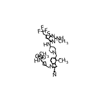 CNc1nc(NC2CCN(Cc3ccc4c(cc(C#N)n4CC45CC(NS(C)(=O)=O)(C4)C5)c3C)CC2)c2cc(CC(F)(F)F)sc2n1